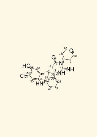 N=C1N[C@]2(CC(=O)N1C1CCOCC1)Cc1c(Nc3ccc(O)c(Cl)c3)cccc12